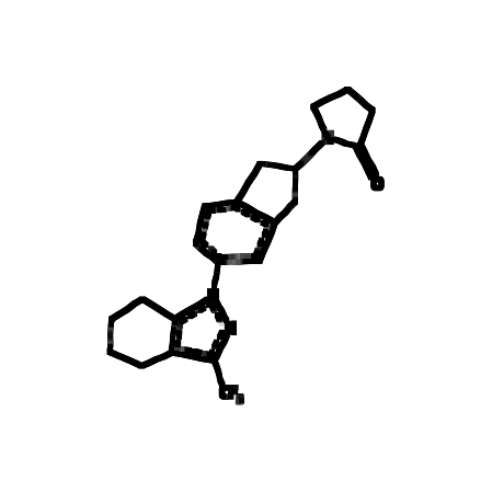 O=C1CCCN1C1Cc2ccc(-n3nc(C(F)(F)F)c4c3CCCC4)cc2C1